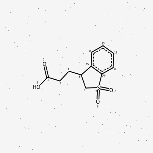 O=C(O)CCC1CS(=O)(=O)c2ccccc21